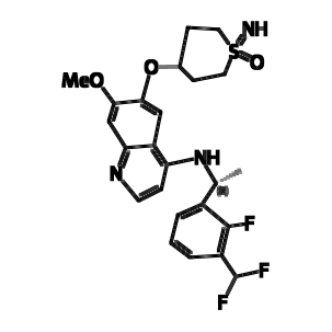 COc1cc2nccc(N[C@H](C)c3cccc(C(F)F)c3F)c2cc1OC1CCS(=N)(=O)CC1